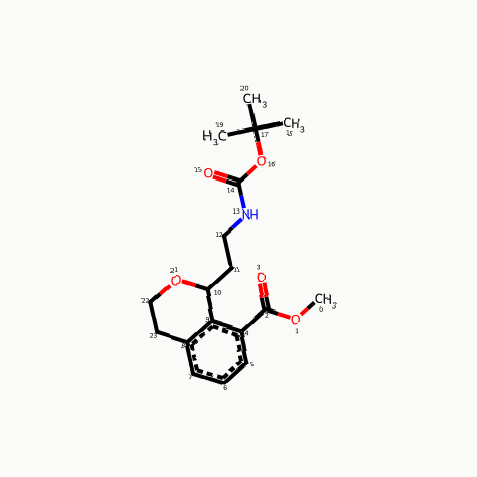 COC(=O)c1cccc2c1C(CCNC(=O)OC(C)(C)C)OCC2